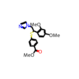 COC(=O)c1ccc(SC(Cn2ccnc2)c2ccc(OC)cc2OC)cc1